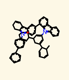 CC1C=CC=CC1C1=CC(n2c3ccccc3c3cccc(-c4ccc5c(c4)c4c(n5-c5ccc(-c6ccccc6)cc5)CCC=C4)c32)=CC(C2C=CCCC2)C1